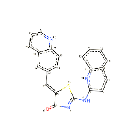 O=C1N=C(Nc2ccc3ccccc3n2)SC1=Cc1ccc2ncccc2c1